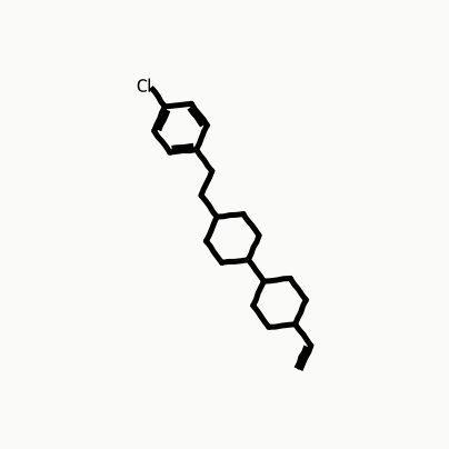 C=CC1CCC(C2CCC(CCc3ccc(Cl)cc3)CC2)CC1